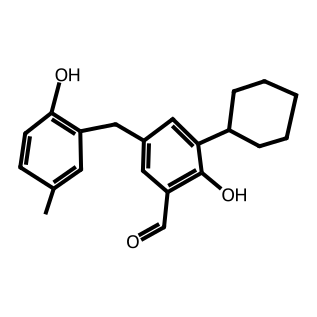 Cc1ccc(O)c(Cc2cc(C=O)c(O)c(C3CCCCC3)c2)c1